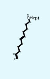 [CH2]CCCCCCCCCCC=CCCCC=C